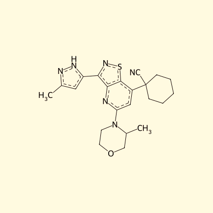 Cc1cc(-c2nsc3c(C4(C#N)CCCCC4)cc(N4CCOCC4C)nc23)[nH]n1